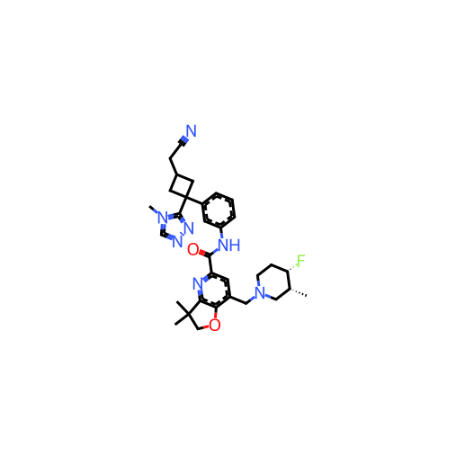 C[C@@H]1CN(Cc2cc(C(=O)Nc3cccc(C4(c5nncn5C)CC(CC#N)C4)c3)nc3c2OCC3(C)C)CC[C@@H]1F